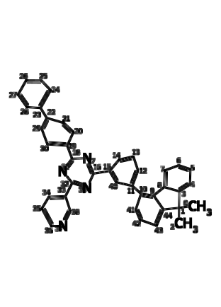 CC1(C)c2ccccc2-c2c(-c3cccc(-c4nc(-c5ccc(-c6ccccc6)cc5)nc(-c5cccnc5)n4)c3)cccc21